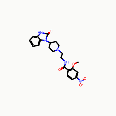 COc1cc([N+](=O)[O-])ccc1C(=O)NCCN1CCC(n2c(=O)[nH]c3ccccc32)CC1